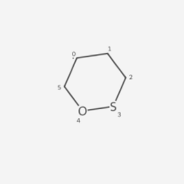 [CH]1CCSOC1